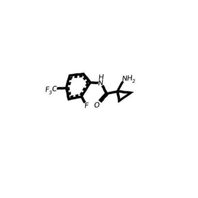 NC1(C(=O)Nc2ccc(C(F)(F)F)cc2F)CC1